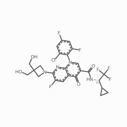 O=C(N[C@@H](C1CC1)C(F)(F)F)c1cn(-c2c(F)cc(F)cc2Cl)c2nc(N3CC(CO)(CO)C3)c(F)cc2c1=O